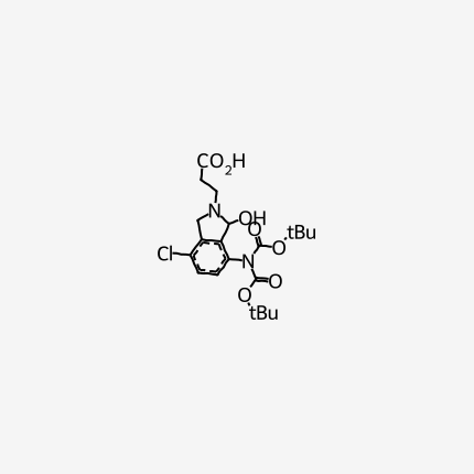 CC(C)(C)OC(=O)N(C(=O)OC(C)(C)C)c1ccc(Cl)c2c1C(O)N(CCC(=O)O)C2